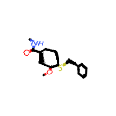 CNC(=O)c1ccc(SCc2ccccc2)c(OC)c1